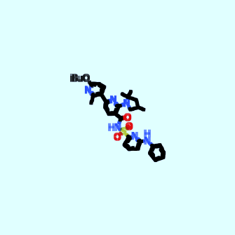 Cc1nc(OCC(C)C)ccc1-c1ccc(C(=O)NS(=O)(=O)c2cccc(Nc3ccccc3)n2)c(N2CC(C)CC2(C)C)n1